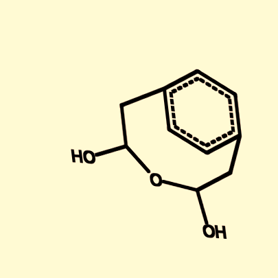 OC1Cc2ccc(cc2)CC(O)O1